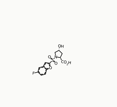 O=C(O)[C@@H]1C[C@@H](O)CN1S(=O)(=O)c1cc2cc(F)ccc2o1